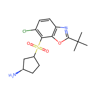 CC(C)(C)c1nc2ccc(Cl)c(S(=O)(=O)C3CC[C@@H](N)C3)c2o1